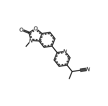 CC(C#N)c1ccc(-c2ccc3oc(=O)n(C)c3c2)nc1